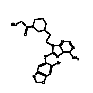 CC(C)(C)CC(=O)N1CCCC(CCn2c(Sc3cc4c(cc3Br)OCO4)nc3c(N)ncnc32)C1